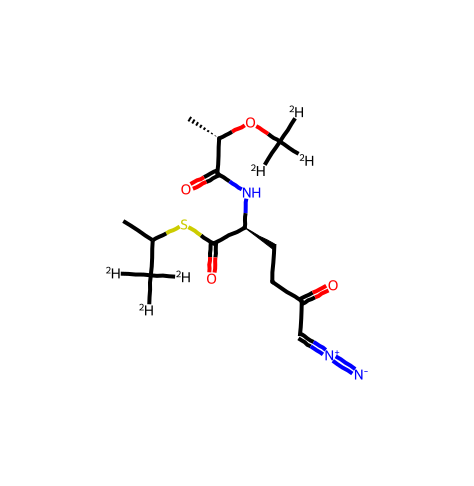 [2H]C([2H])([2H])O[C@@H](C)C(=O)N[C@@H](CCC(=O)C=[N+]=[N-])C(=O)SC(C)C([2H])([2H])[2H]